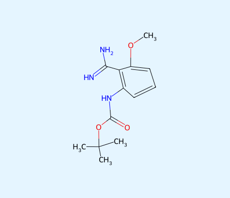 COc1cccc(NC(=O)OC(C)(C)C)c1C(=N)N